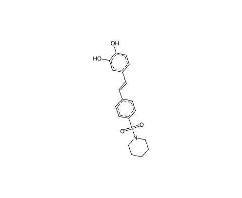 O=S(=O)(c1ccc(C=Cc2ccc(O)c(O)c2)cc1)N1CCCCC1